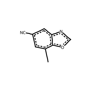 Cc1cc(C#N)cc2ncoc12